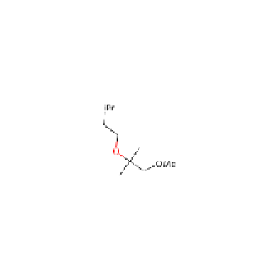 COCC(C)(C)OCCC(C)C